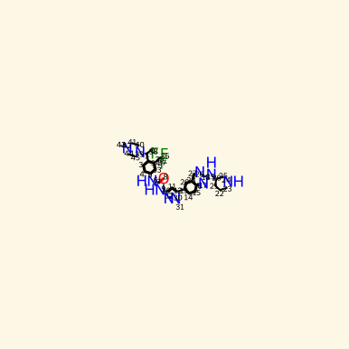 CC(c1ccc(NC(=O)Nc2cc(-c3ccc4nc(NC5CCCNC5)ncc4c3)n(C)n2)cc1C(F)(F)F)N1CCN(C)CC1